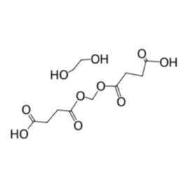 O=C(O)CCC(=O)OCOC(=O)CCC(=O)O.OCCO